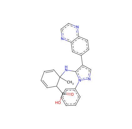 CC1(Nc2c(-c3ccc4nccnc4c3)cnn2-c2ccccc2)C=CC=CC1C(=O)O